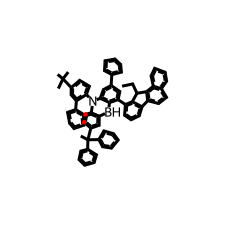 CCC1c2c(-c3cc(-c4ccccc4)cc4c3Bc3cc(C(C)(c5ccccc5)c5ccccc5)ccc3N4c3ccc(C(C)(C)C)cc3-c3ccccc3)cccc2-c2ccc3ccccc3c21